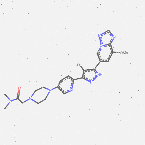 COc1cc(-c2[nH]nc(-c3ccc(N4CCN(CC(=O)N(C)C)CC4)cn3)c2C(C)C)cn2ncnc12